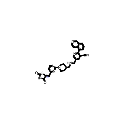 N#Cc1cc(CNCC2CCN(c3nccc(/C=C4\SC(=O)NC4=O)n3)CC2)cnc1-c1cccc2cnccc12